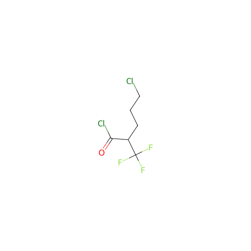 O=C(Cl)C(CCCCl)C(F)(F)F